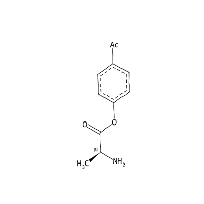 CC(=O)c1ccc(OC(=O)[C@H](C)N)cc1